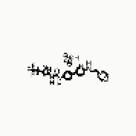 CC(C)(c1cc(NC(=O)Nc2ccc(-c3ccc(NCCN4CCOCC4)nc3)cc2)no1)C(F)(F)F.CS(=O)(=O)O